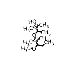 CCC(OC)[Si](C)(C)OC(C)[Si](C)(C)O